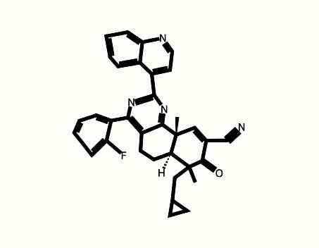 CC1(CC2CC2)C(=O)C(C#N)=C[C@@]2(C)c3nc(-c4ccnc5ccccc45)nc(-c4ccccc4F)c3CC[C@H]12